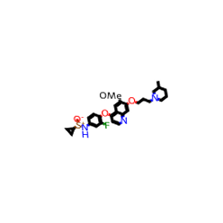 COc1cc2c(Oc3ccc(N[S+]([O-])C4CC4)cc3F)ccnc2cc1OCCCN1CCCC(C)C1